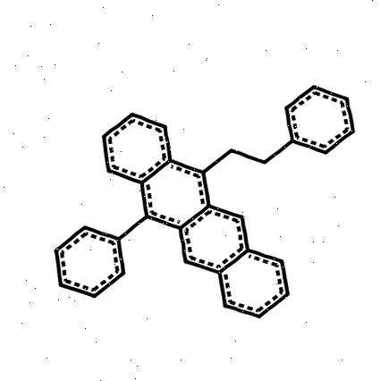 c1ccc(CCc2c3ccccc3c(-c3ccccc3)c3cc4ccccc4cc23)cc1